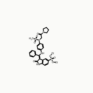 CCOP(=O)(OCC)c1ccc2c(c1)C(=C(Nc1ccc(N(CC(=O)N3CCCC3)S(C)(=O)=O)cc1)c1ccccc1)C(=O)N2